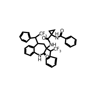 O=C(NC1(C(=O)NC2(C(c3ccccc3)C(F)(F)F)CC(C(c3ccccc3)C(F)(F)F)c3ccccc3NC2=O)CC1)c1ccccc1